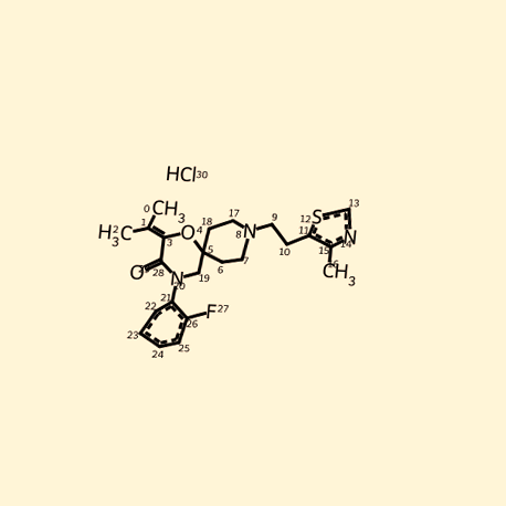 CC(C)=C1OC2(CCN(CCc3scnc3C)CC2)CN(c2ccccc2F)C1=O.Cl